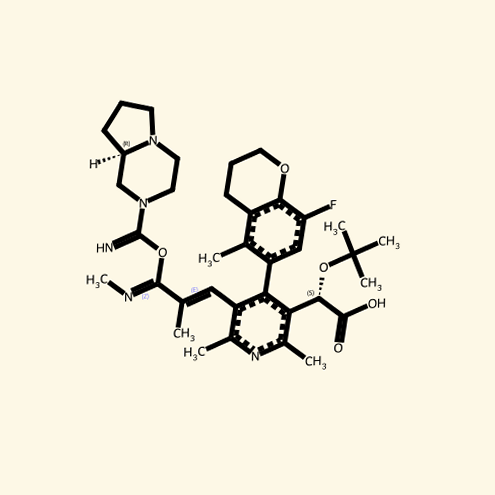 C/N=C(OC(=N)N1CCN2CCC[C@@H]2C1)/C(C)=C/c1c(C)nc(C)c([C@H](OC(C)(C)C)C(=O)O)c1-c1cc(F)c2c(c1C)CCCO2